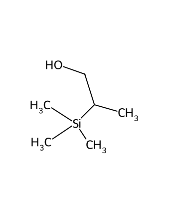 CC(CO)[Si](C)(C)C